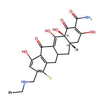 CC(C)CNCc1cc(O)c2c(c1F)CC1C[C@H]3CC(O)=C(C(N)=O)C(=O)[C@@]3(O)C(O)=C1C2=O